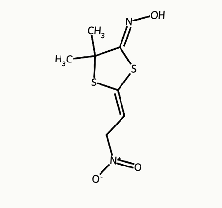 CC1(C)SC(=CC[N+](=O)[O-])SC1=NO